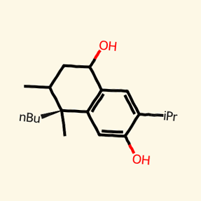 CCCC[C@]1(C)c2cc(O)c(C(C)C)cc2C(O)CC1C